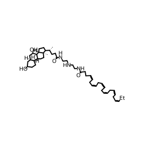 CC/C=C\C/C=C\C/C=C\C/C=C\C/C=C\C/C=C\CCC(=O)NCCNCCNC(=O)CC[C@@H](C)C1CC[C@H]2[C@@H]3[C@H](O)C[C@@H]4C[C@H](O)CC[C@]4(C)[C@H]3CC[C@]12C